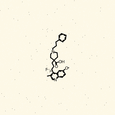 COc1ccc2ncc(C)c([C@H](F)CCC3(C(=O)O)CCN(CCCc4ccccc4)CC3)c2c1